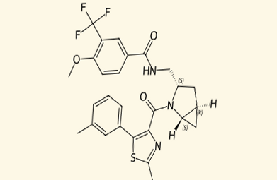 COc1ccc(C(=O)NC[C@@H]2C[C@H]3C[C@@H]3N2C(=O)c2nc(C)sc2-c2cccc(C)c2)cc1C(F)(F)F